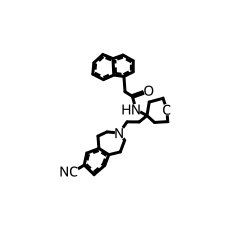 N#Cc1ccc2c(c1)CCN(CCC1(NC(=O)Cc3cccc4ccccc34)CCCCC1)CC2